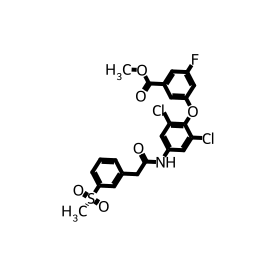 COC(=O)c1cc(F)cc(Oc2c(Cl)cc(NC(=O)Cc3cccc(S(C)(=O)=O)c3)cc2Cl)c1